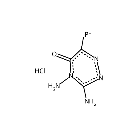 CC(C)c1nnc(N)n(N)c1=O.Cl